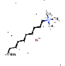 CCCCCCCCCCCCCCCCCC[N+](C)(C)C.[Br-]